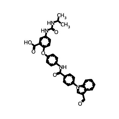 CC(C)NC(=O)Nc1ccc(Oc2ccc(NC(=O)c3ccc(-n4cc(C=O)c5ccccc54)cc3)cc2)c(C(=O)O)c1